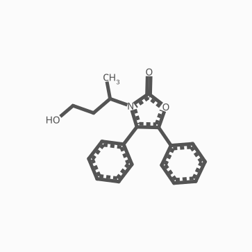 CC(CCO)n1c(-c2ccccc2)c(-c2ccccc2)oc1=O